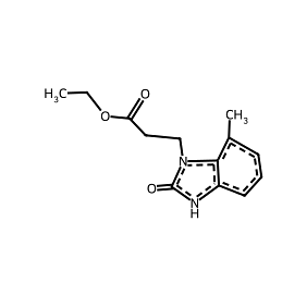 CCOC(=O)CCn1c(=O)[nH]c2cccc(C)c21